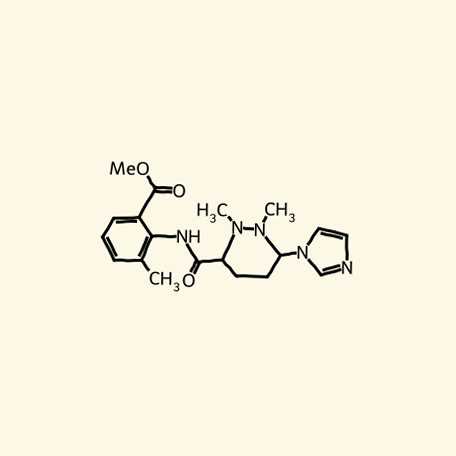 COC(=O)c1cccc(C)c1NC(=O)C1CCC(n2ccnc2)N(C)N1C